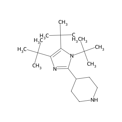 CC(C)(C)c1nc(C2CCNCC2)n(C(C)(C)C)c1C(C)(C)C